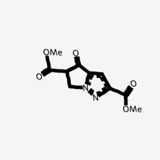 COC(=O)c1cc2n(n1)CC(C(=O)OC)C2=O